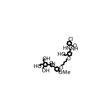 COc1ccc(-c2cc(-c3cc(CO)c(CO)c(CO)c3)on2)cc1OCCCCCOc1ccc(C2NC(=O)c3cc(Cl)ccc3N2)cc1CO